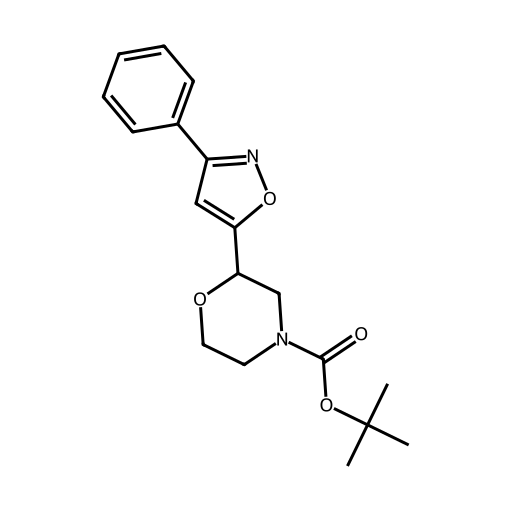 CC(C)(C)OC(=O)N1CCOC(c2cc(-c3ccccc3)no2)C1